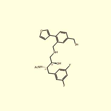 CC(=O)N[C@@H](Cc1cc(F)cc(F)c1)[C@H](O)CNCc1cc(CC(C)C)ccc1-c1ccoc1